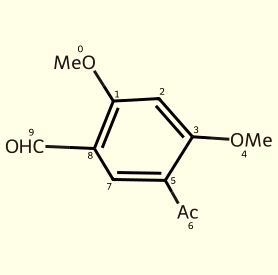 COc1cc(OC)c(C(C)=O)cc1C=O